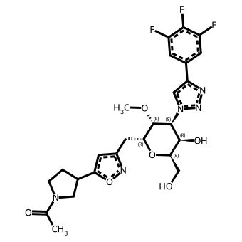 CO[C@@H]1[C@@H](n2cc(-c3cc(F)c(F)c(F)c3)nn2)[C@@H](O)[C@@H](CO)O[C@@H]1Cc1cc(C2CCN(C(C)=O)C2)on1